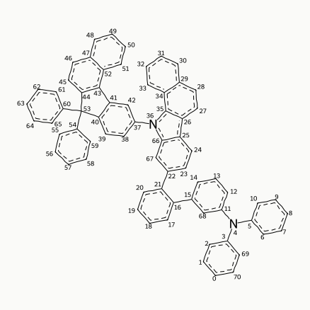 c1ccc(N(c2ccccc2)c2cccc(-c3ccccc3-c3ccc4c5ccc6ccccc6c5n(-c5ccc6c(c5)-c5c(ccc7ccccc57)C6(c5ccccc5)c5ccccc5)c4c3)c2)cc1